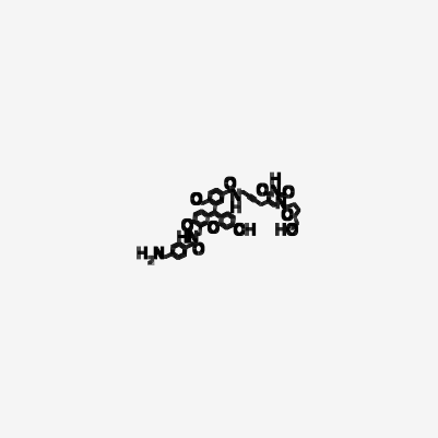 NCc1ccc(C(=O)NCc2c3oc4cc(O)ccc4c(-c4cc(C(=O)NCC#CCc5cn([C@H]6CC[C@@H](CO)O6)c(=O)[nH]c5=O)ccc4C=O)c-3ccc2=O)cc1